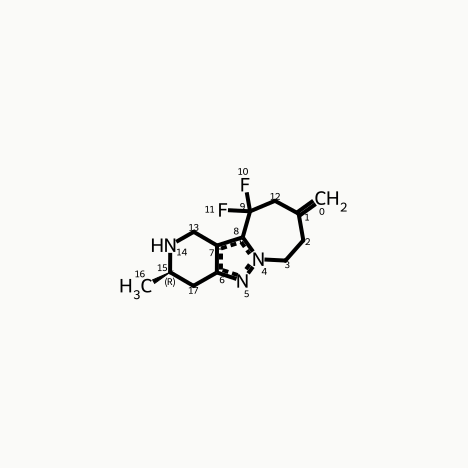 C=C1CCn2nc3c(c2C(F)(F)C1)CN[C@H](C)C3